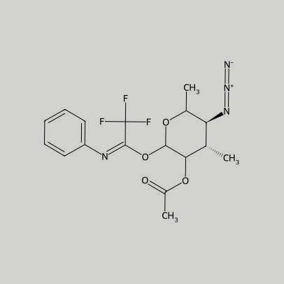 CC(=O)OC1C(O/C(=N/c2ccccc2)C(F)(F)F)OC(C)[C@@H](N=[N+]=[N-])[C@@H]1C